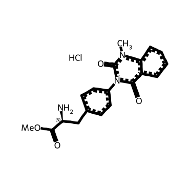 COC(=O)[C@@H](N)Cc1ccc(-n2c(=O)c3ccccc3n(C)c2=O)cc1.Cl